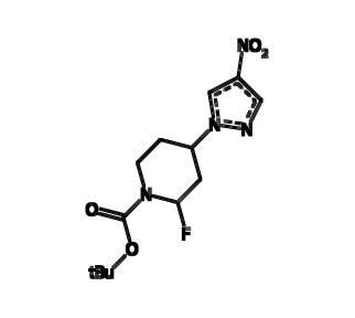 CC(C)(C)OC(=O)N1CCC(n2cc([N+](=O)[O-])cn2)CC1F